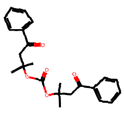 CC(C)(CC(=O)c1ccccc1)OC(=O)OC(C)(C)CC(=O)c1ccccc1